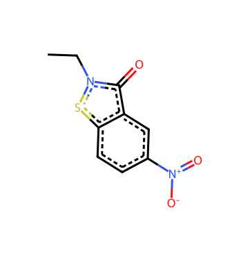 CCn1sc2ccc([N+](=O)[O-])cc2c1=O